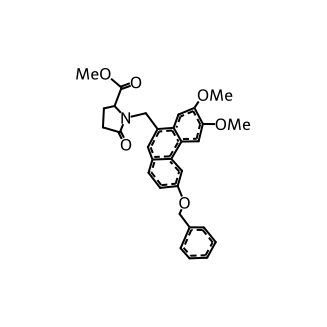 COC(=O)C1CCC(=O)N1Cc1cc2ccc(OCc3ccccc3)cc2c2cc(OC)c(OC)cc12